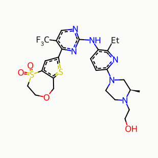 CCc1nc(N2CCN(CCO)[C@H](C)C2)ccc1Nc1ncc(C(F)(F)F)c(-c2cc3c(s2)COCCS3(=O)=O)n1